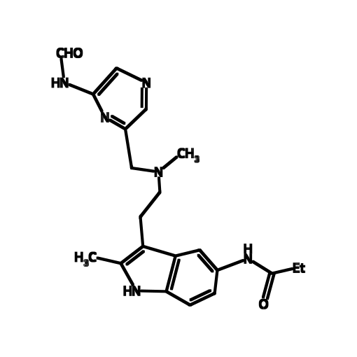 CCC(=O)Nc1ccc2[nH]c(C)c(CCN(C)Cc3cncc(NC=O)n3)c2c1